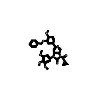 COc1ccc(-c2cc3c(cn2)n(C(=O)C2CC2)c(=O)n3-c2cc(OC)c(OC)c(OC)c2)cc1OCc1ccccc1